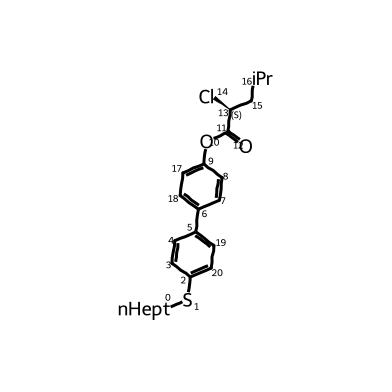 CCCCCCCSc1ccc(-c2ccc(OC(=O)[C@@H](Cl)CC(C)C)cc2)cc1